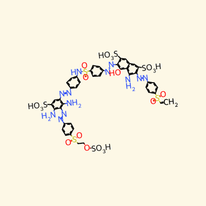 C=CS(=O)(=O)c1ccc(/N=N/c2c(S(=O)(=O)O)cc3cc(S(=O)(=O)O)c(/N=N/c4ccc(S(=O)(=O)Nc5ccc(/N=N/c6cc(S(=O)(=O)O)c(N)c(/N=N/c7ccc(S(=O)(=O)CCOS(=O)(=O)O)cc7)c6N)cc5)cc4)c(O)c3c2N)cc1